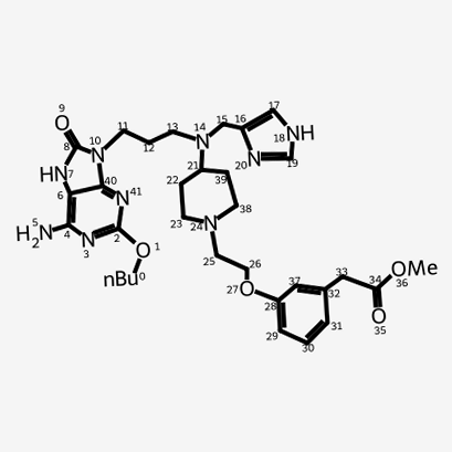 CCCCOc1nc(N)c2[nH]c(=O)n(CCCN(Cc3c[nH]cn3)C3CCN(CCOc4cccc(CC(=O)OC)c4)CC3)c2n1